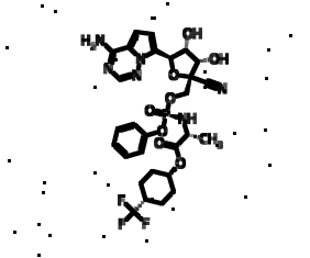 C[C@@H](N[P@@](=O)(OC[C@@]1(C#N)O[C@@H](c2ccc3c(N)ncnn23)[C@H](O)[C@@H]1O)Oc1ccccc1)C(=O)O[C@H]1CC[C@H](C(F)(F)F)CC1